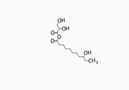 CCC(O)CCCCCCCC(=O)OC(=O)C(O)CO